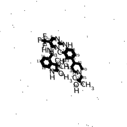 Cc1c(Nc2ncc(C(F)(F)F)c(NCc3cccc4c3C(C)(C)C(=O)N4)n2)ccc(C2CCN(CC(C)(C)O)CC2)c1F